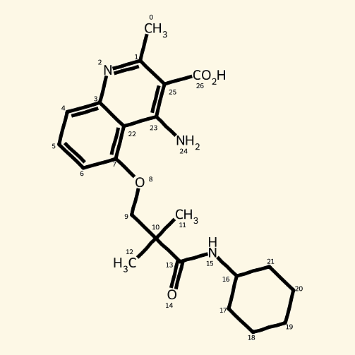 Cc1nc2cccc(OCC(C)(C)C(=O)NC3CCCCC3)c2c(N)c1C(=O)O